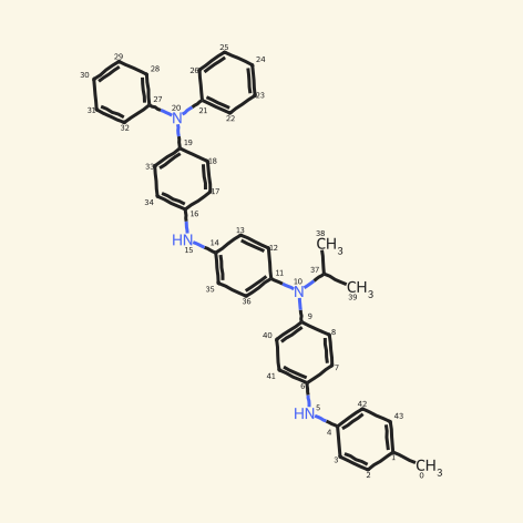 Cc1ccc(Nc2ccc(N(c3ccc(Nc4ccc(N(c5ccccc5)c5ccccc5)cc4)cc3)C(C)C)cc2)cc1